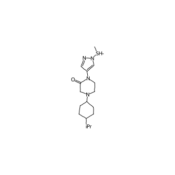 CC(C)C1CCC(N2CCN(c3cnn([SH](C)C)c3)C(=O)C2)CC1